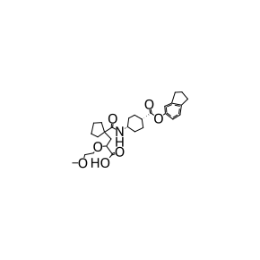 COCCOC(CC1(C(=O)N[C@H]2CC[C@@H](C(=O)Oc3ccc4c(c3)CCC4)CC2)CCCC1)C(=O)O